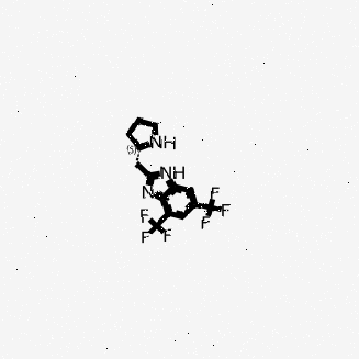 FC(F)(F)c1cc(C(F)(F)F)c2nc(C[C@@H]3CCCN3)[nH]c2c1